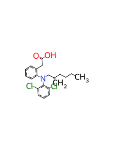 C=C(CCCC)CN(c1ccccc1CC(=O)O)c1c(Cl)cccc1Cl